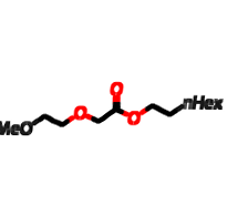 CCCCCCCCOC(=O)COCCOC